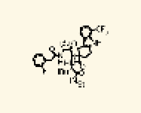 CCNC(=O)[C@@H](NC(=O)[C@@]1(NC(=O)[C@@H](NC(=O)Cc2ccccc2F)C(C)CC)CCc2[nH]c3c(C(F)(F)F)cccc3c2C1)C(C)CC